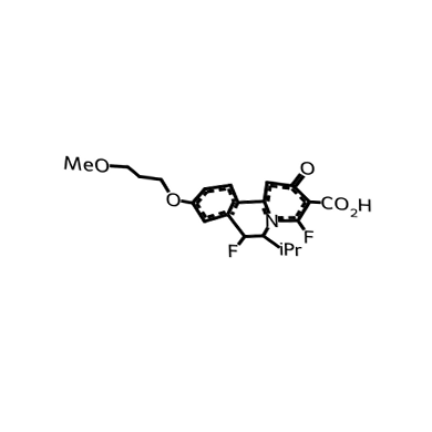 COCCCOc1ccc2c(c1)C(F)C(C(C)C)n1c-2cc(=O)c(C(=O)O)c1F